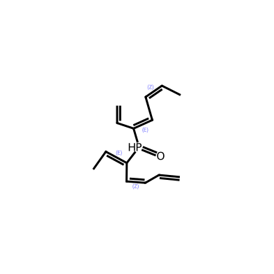 C=C/C=C\C(=C/C)[PH](=O)/C(C=C)=C/C=C\C